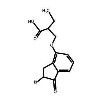 CCC(COc1cccc2c1CC(Br)C2=O)C(=O)O